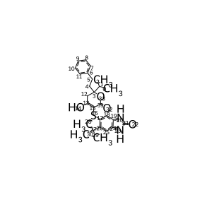 CC(C)C1(CCc2ccccc2)CC(O)=C(Sc2cc3[nH]c(=O)[nH]c3cc2C(C)(C)C)C(=O)O1